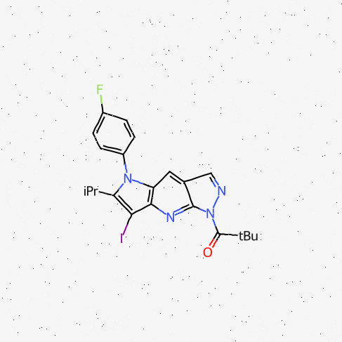 CC(C)c1c(I)c2nc3c(cnn3C(=O)C(C)(C)C)cc2n1-c1ccc(F)cc1